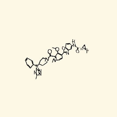 COc1c(-c2nc3cc(NC(=O)[C@@H]4C[C@@H]4F)ccc3o2)ccnc1C(=O)N1CCC([C@H](c2ccccc2)n2nnc(C)n2)CC1